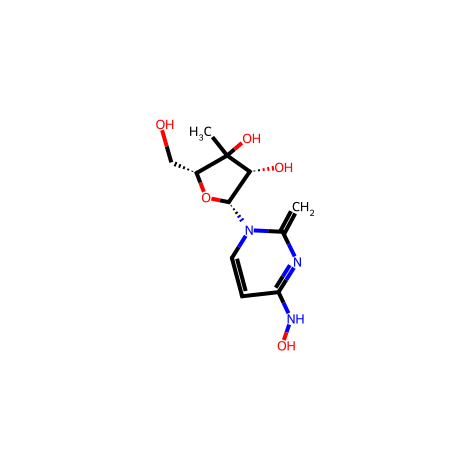 C=C1N=C(NO)C=CN1[C@@H]1O[C@H](CO)C(C)(O)[C@@H]1O